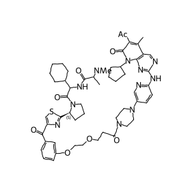 CNC(C)C(=O)NC(C(=O)N1CCC[C@H]1c1nc(C(=O)c2cccc(OCCOCCC(=O)N3CCN(c4ccc(Nc5ncc6c(C)c(C(C)=O)c(=O)n(C7CCCC7)c6n5)nc4)CC3)c2)cs1)C1CCCCC1